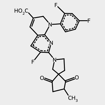 CC1CC(=O)C2(CCN(c3nc4c(cc3F)C=C(C(=O)O)CN4c3ccc(F)cc3F)C2)C1=O